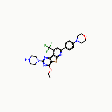 CCOc1nc(N2CCNCC2)nc2c1sc1nc(-c3ccc(N4CCOCC4)cc3)cc(C(F)(F)F)c12